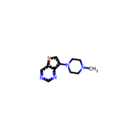 CN1CCN(c2csc3cncnc23)CC1